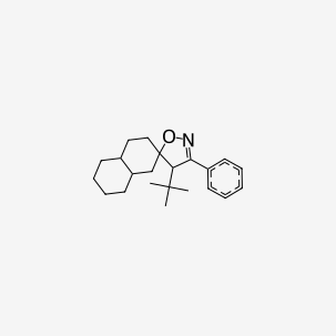 CC(C)(C)C1C(c2ccccc2)=NOC12CCC1CCCCC1C2